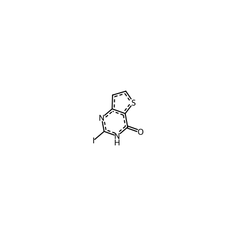 O=c1[nH]c(I)nc2ccsc12